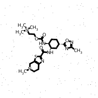 Cc1noc([C@H]2CC[C@H](NC(=O)OCC[Si](C)(C)C)[C@@H](NC(=O)c3nc4c(s3)CN(C)CC4)C2)n1